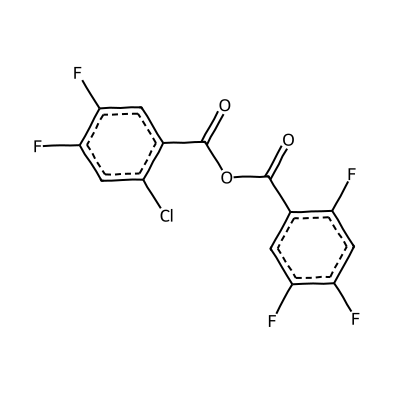 O=C(OC(=O)c1cc(F)c(F)cc1Cl)c1cc(F)c(F)cc1F